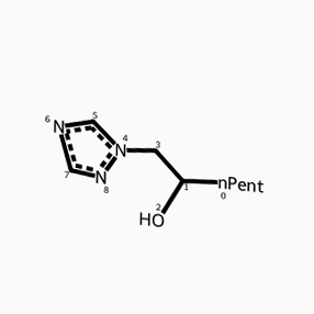 CCCCCC(O)Cn1cncn1